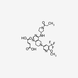 CCC(=O)N1CC[C@H](Nc2ncnc3c2CN(c2cnc(OC)c(C(F)(F)F)c2)CC3)C1.O=C(O)C=CC(=O)O